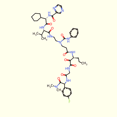 CCC[C@H](NC(=O)CCN(CCNC(=O)[C@@H](NC(=O)[C@@H](NC(=O)c1cnccn1)C1CCCCC1)C(C)C)C(=O)Nc1ccccc1)C(=O)C(=O)NCC(=O)N[C@H](C(=O)N(C)C)c1ccc(F)cc1